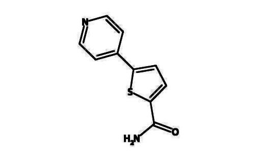 NC(=O)c1ccc(-c2ccncc2)s1